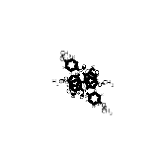 COc1ccc(P(=O)(c2ccc(OC)cc2)c2ccc3c(c2-c2c(P(=O)(c4ccc(OC)cc4)c4ccc(OC)cc4)ccc4c2OCO4)OCO3)cc1